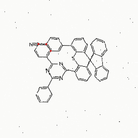 N#Cc1ccc(-c2cccc3c2Sc2c(-c4nc(-c5ccccc5)nc(-c5ccccc5)n4)cccc2C32c3ccccc3-c3ccccc32)cc1